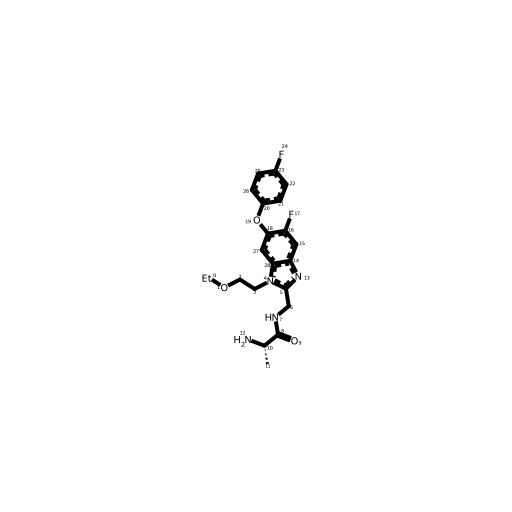 CCOCCn1c(CNC(=O)[C@H](C)N)nc2cc(F)c(Oc3ccc(F)cc3)cc21